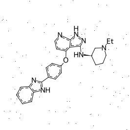 CCN1CCC[C@@H](Nc2n[nH]c3nccc(Oc4ccc(-c5nc6ccccc6[nH]5)cc4)c23)C1